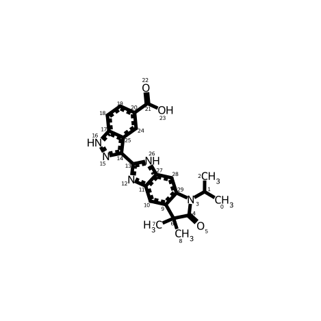 CC(C)N1C(=O)C(C)(C)c2cc3nc(-c4n[nH]c5ccc(C(=O)O)cc45)[nH]c3cc21